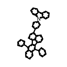 c1ccc(-c2c3c(c(-c4ccccc4)c4ccccc24)-c2ccc(-c4ccc(-n5c6ccccc6c6ccccc65)cc4)c4cccc-3c24)cc1